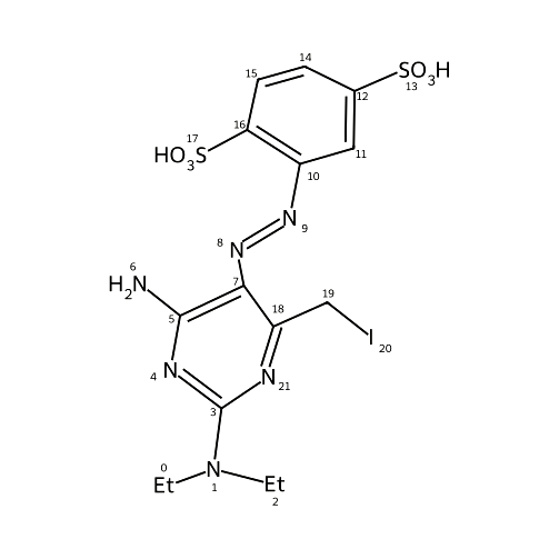 CCN(CC)c1nc(N)c(/N=N/c2cc(S(=O)(=O)O)ccc2S(=O)(=O)O)c(CI)n1